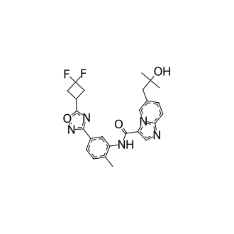 Cc1ccc(-c2noc(C3CC(F)(F)C3)n2)cc1NC(=O)c1cnc2ccc(CC(C)(C)O)cn12